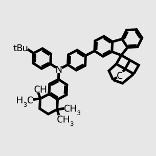 CC(C)(C)c1ccc(N(c2ccc(-c3ccc4c(c3)C3(c5ccccc5-4)C4CC5CC6CC3C64C5)cc2)c2ccc3c(c2)C(C)(C)CCC3(C)C)cc1